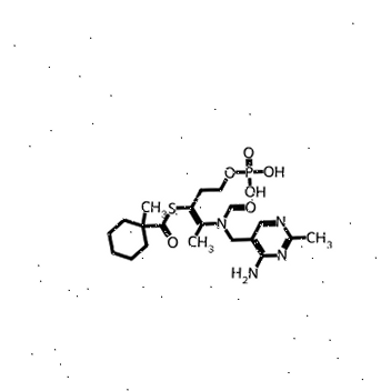 CC(=C(CCOP(=O)(O)O)SC(=O)C1(C)CCCCC1)N(C=O)Cc1cnc(C)nc1N